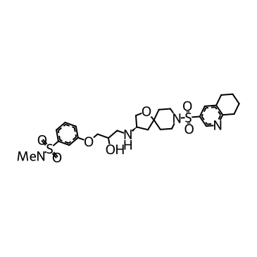 CNS(=O)(=O)c1cccc(OCC(O)CN[C@H]2COC3(CCN(S(=O)(=O)c4cnc5c(c4)CCCC5)CC3)C2)c1